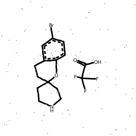 Brc1ccc2c(c1)CCC1(CCNCC1)O2.O=C(O)C(F)(F)F